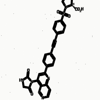 O=C(O)[C@H]1CCCN1S(=O)(=O)c1ccc(C#Cc2ccc(-c3cc(N4C(=O)CNC4=O)c4cnccc4n3)cc2)cc1